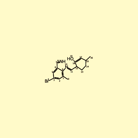 Cc1cc(Br)cc(C=N)c1/N=C/C1CCC(C)C=C1O